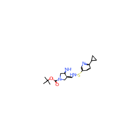 CC(C)(C)OC(=O)N1CC(=N)/C(=C\NSc2ccc(C3CC3)nc2)C1